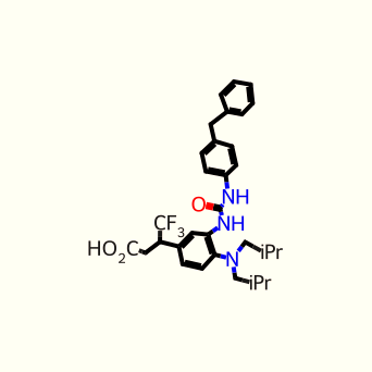 CC(C)CN(CC(C)C)c1ccc(C(CC(=O)O)C(F)(F)F)cc1NC(=O)Nc1ccc(Cc2ccccc2)cc1